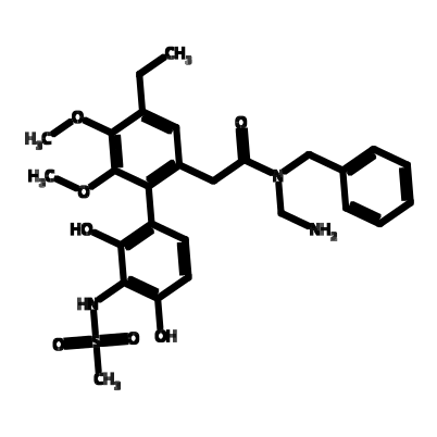 CCc1cc(CC(=O)N(CN)Cc2ccccc2)c(-c2ccc(O)c(NS(C)(=O)=O)c2O)c(OC)c1OC